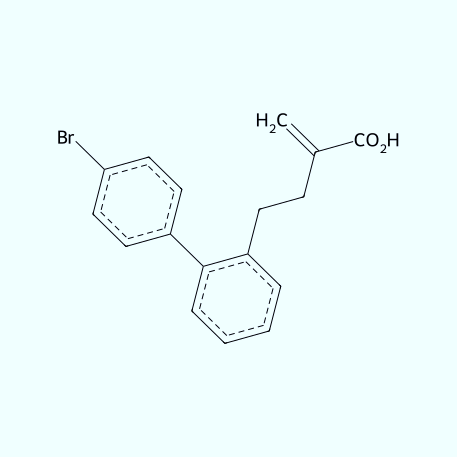 C=C(CCc1ccccc1-c1ccc(Br)cc1)C(=O)O